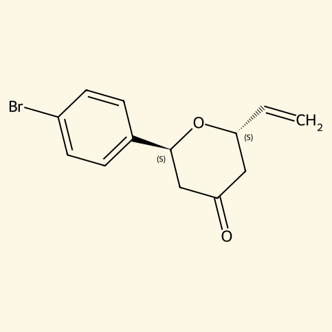 C=C[C@@H]1CC(=O)C[C@@H](c2ccc(Br)cc2)O1